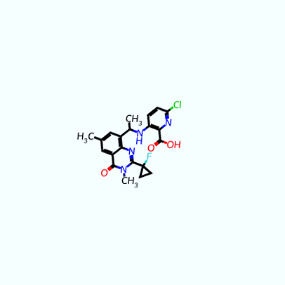 Cc1cc(C(C)Nc2ccc(Cl)nc2C(=O)O)c2nc(C3(F)CC3)n(C)c(=O)c2c1